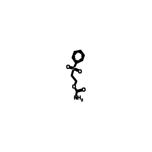 NC(=O)OCCS(=O)(=O)c1ccccc1